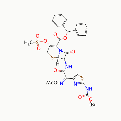 CO/N=C(\C(=O)N[C@@H]1C(=O)N2C(C(=O)OC(c3ccccc3)c3ccccc3)=C(OS(C)(=O)=O)CS[C@@H]12)c1csc(NC(=O)OC(C)(C)C)n1